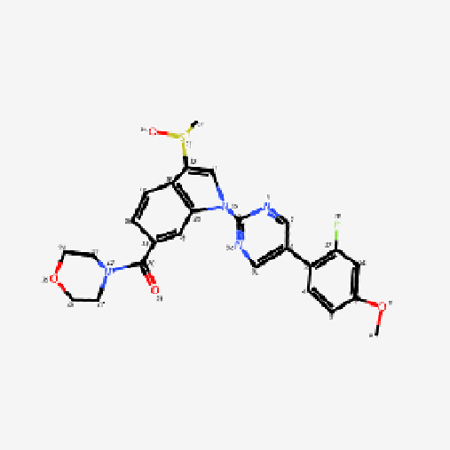 COc1ccc(-c2cnc(-n3cc([S+](C)[O-])c4ccc(C(=O)N5CCOCC5)cc43)nc2)c(F)c1